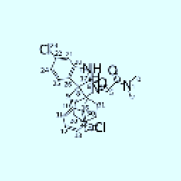 CN(C)C(=O)CNC1(C2(Cc3cccc(Cl)c3)C(=O)Nc3cc(Cl)ccc32)CCCCC1